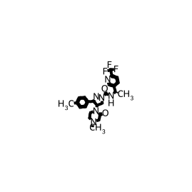 Cc1ccc(C2=NN(C(=O)N[C@H](C)c3ccc(C(F)(F)F)nc3)CC2N2CCN(C)CC2=O)cc1